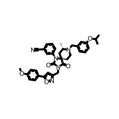 COc1ccc(-c2cc(CN3C(=O)N(c4cccc(C#N)c4)[C@@]4(CCN(Cc5cccc(OC(C)C)c5)[C@@H](C)C4)C3=O)no2)cc1